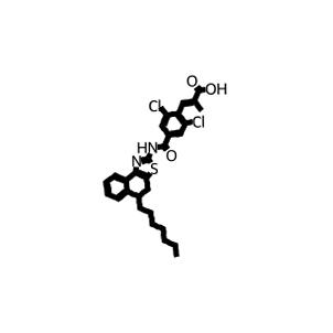 CCCCCCCC1Cc2sc(NC(=O)c3cc(Cl)c(C=C(C)C(=O)O)c(Cl)c3)nc2-c2ccccc21